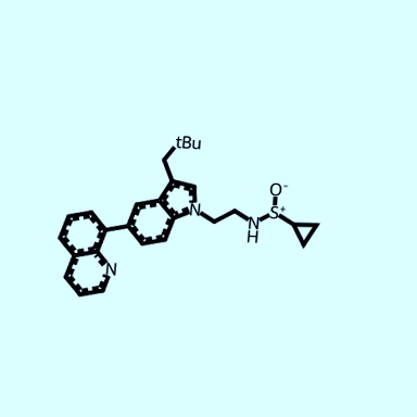 CC(C)(C)Cc1cn(CCN[S+]([O-])C2CC2)c2ccc(-c3cccc4cccnc34)cc12